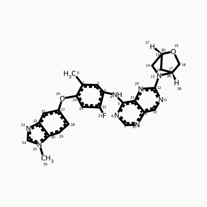 Cc1cc(Nc2ncnc3cnc(N4C[C@H]5C[C@@H]4CO5)nc23)c(F)cc1Oc1ccc2c(c1)ncn2C